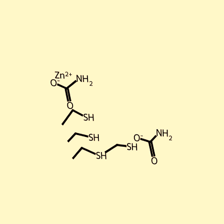 CCS.CCS.CCS.CCS.NC(=O)[O-].NC(=O)[O-].[Zn+2]